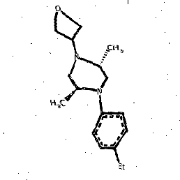 CCc1ccc(N2C[C@@H](C)N(C3COC3)C[C@@H]2C)cc1